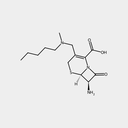 CCCCCN(C)CC1=C(C(=O)O)N2C(=O)[C@@H](N)[C@H]2SC1